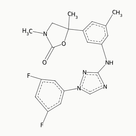 Cc1cc(Nc2ncn(-c3cc(F)cc(F)c3)n2)cc(C2(C)CN(C)C(=O)O2)c1